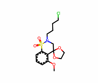 COc1cccc2c1C1(CN(CCCCCl)S2(=O)=O)OCCO1